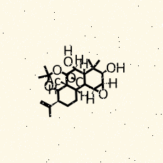 C=C(C)[C@@H]1CC[C@H]2[C@@]34COC5(OC(C)(C)O[C@H]1[C@@]25C(C)=O)[C@@H](O)[C@@H]3C(C)(C)[C@@H](O)[C@H]1O[C@H]14